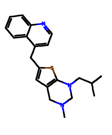 CC(C)CN1CN(C)Cc2cc(Cc3ccnc4ccccc34)sc21